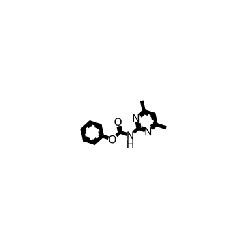 Cc1cc(C)nc(NC(=O)Oc2ccccc2)n1